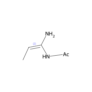 C/C=C(/N)NC(C)=O